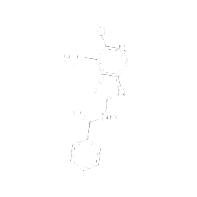 Cc1c(Cl)ncc2nc(NC(=O)c3ccccc3)sc12